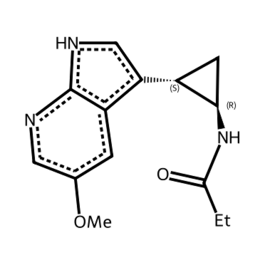 CCC(=O)N[C@@H]1C[C@H]1c1c[nH]c2ncc(OC)cc12